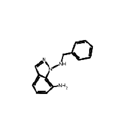 Nc1cccc2cnn(NCc3ccccc3)c12